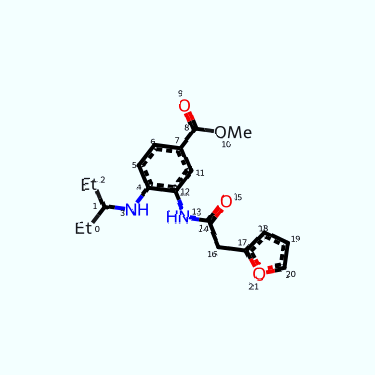 CCC(CC)Nc1ccc(C(=O)OC)cc1NC(=O)Cc1ccco1